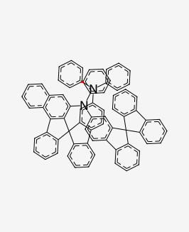 c1ccc(N(c2ccccc2)c2ccc3c(c2)C2(c4ccccc4-3)c3ccccc3-c3c2c(N(c2ccccc2)c2ccc4c(c2)C2(c5ccccc5-c5ccccc52)c2ccccc2-4)cc2ccccc32)cc1